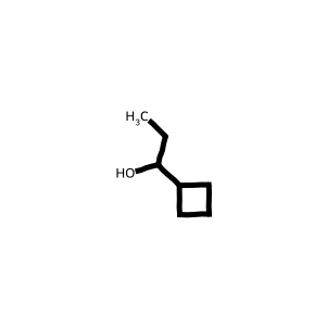 CCC(O)C1CCC1